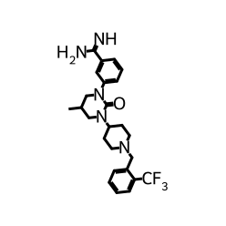 CC1CN(c2cccc(C(=N)N)c2)C(=O)N(C2CCN(Cc3ccccc3C(F)(F)F)CC2)C1